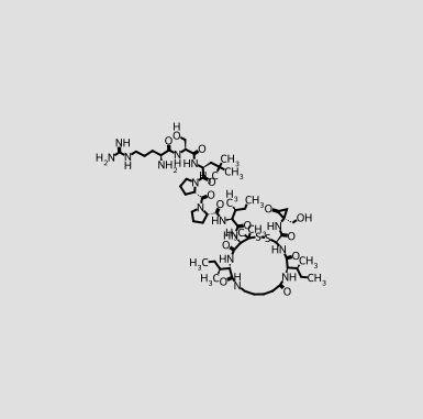 CC[C@H](C)[C@@H]1NC(=O)[C@@H](NC(=O)[C@@H](NC(=O)[C@@H]2CCCN2C(=O)[C@@H]2CCCN2C(=O)[C@H](CC(C)(C)C)NC(=O)[C@H](CO)NC(=O)[C@@H](N)CCCNC(=N)N)[C@@H](C)CC)C(C)(C)SS[C@@H](C(=O)N[C@]2(CO)CC2=O)NC(=O)[C@@H]([C@@H](C)CC)NC(=O)CCCCNC1=O